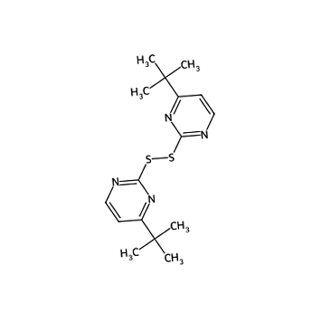 CC(C)(C)c1ccnc(SSc2nccc(C(C)(C)C)n2)n1